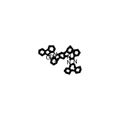 CC1(C)c2ccccc2-c2cccc(-n3c4ccccc4c4cc5c(cc43)c3ccccc3n5-c3nc4c5ccccc5c5ccccc5c4nc3-c3ccccc3)c21